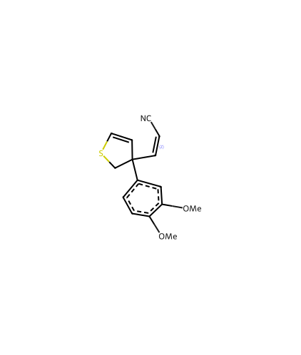 COc1ccc(C2(/C=C\C#N)C=CSC2)cc1OC